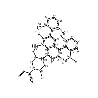 C=CC(=O)N1CC2CNc3c(F)c(-c4c(O)cccc4Cl)cc4c3c(nc(=O)n4-c3c(C)ccnc3C(C)C)N2CC1C